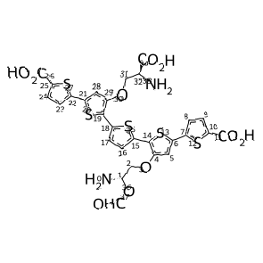 N[C@H](COc1cc(-c2ccc(C(=O)O)s2)sc1-c1ccc(-c2sc(-c3ccc(C(=O)O)s3)cc2OC[C@H](N)C(=O)O)s1)OC=O